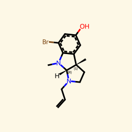 C=CCN1CC[C@@]2(C)c3cc(O)cc(Br)c3N(C)[C@@H]12